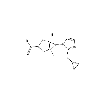 O=C(O)N1C[C@@H]2C(n3ccnc3CC3CC3)[C@@H]2C1